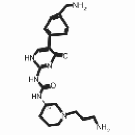 NCCCN1CCC[C@H](NC(=O)Nc2nc(=O)c(-c3ccc(CN)cc3)c[nH]2)C1